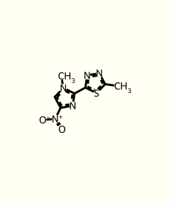 Cc1nnc(-c2nc([N+](=O)[O-])cn2C)s1